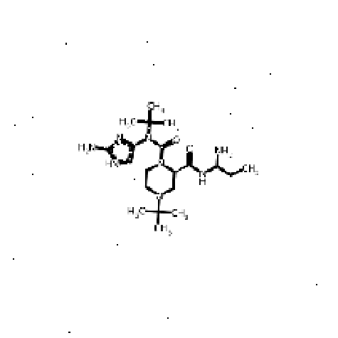 CCC(N)NC(=O)[C@H]1CN(C(C)(C)C)CCN1C(=O)N(c1c[nH]c(N)n1)C(C)(C)C